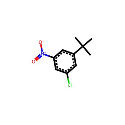 CC(C)(C)c1cc(Cl)cc([N+](=O)[O-])c1